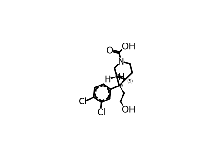 O=C(O)N1CC[C@H]2[C@@H](C1)[C@@]2(CCO)c1ccc(Cl)c(Cl)c1